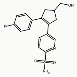 NS(=O)(=O)c1ccc(C2=C(c3ccc(F)cc3)CC(CO)C2)cn1